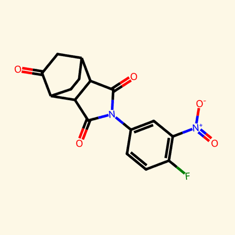 O=C1CC2CCC1C1C(=O)N(c3ccc(F)c([N+](=O)[O-])c3)C(=O)C21